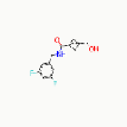 O=C(NCc1cc(F)cc(F)c1)C12CC(CO)(C1)C2